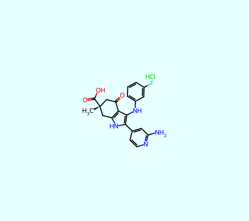 C[C@@]1(C(=O)O)CC(=O)c2c([nH]c(-c3ccnc(N)c3)c2Nc2cccc(F)c2)C1.Cl